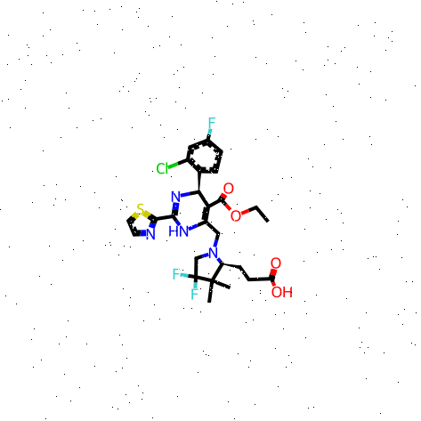 CCOC(=O)C1=C(CN2CC(F)(F)C(C)(C)[C@@H]2CCC(=O)O)NC(c2nccs2)=N[C@H]1c1ccc(F)cc1Cl